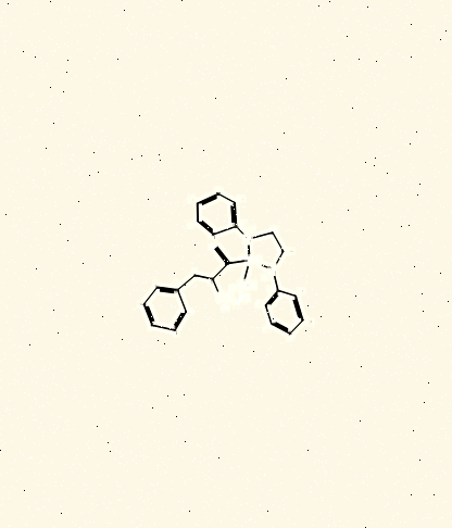 C=C(C(Cc1ccccc1)C(=O)OCC)[PH]1(O)N(c2ccccc2)CCN1c1ccccc1